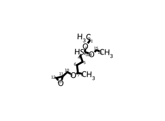 CCO[SiH](CCCC(C)OCC1CO1)OCC